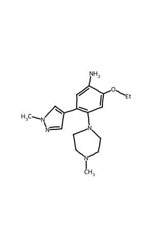 CCOc1cc(N2CCN(C)CC2)c(-c2cnn(C)c2)cc1N